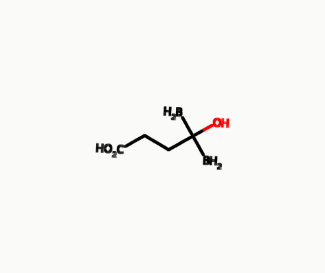 BC(B)(O)CCC(=O)O